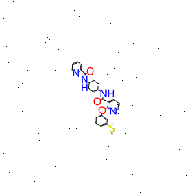 CSc1cccc(Oc2ncccc2C(=O)NC2CCC(NC(=O)c3ccccn3)CC2)c1